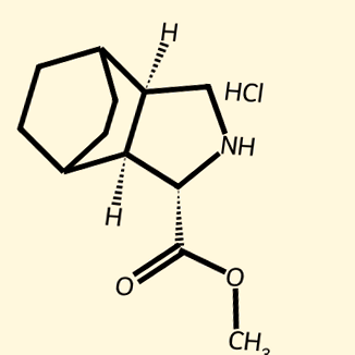 COC(=O)[C@H]1NC[C@@H]2C3CCC(CC3)[C@H]12.Cl